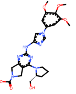 COc1cc(-n2cnc(Nc3nc4c(c(N5CCC[C@@H]5CO)n3)CN(C(=O)O)C4)c2)cc(OC)c1OC